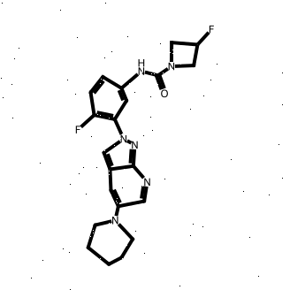 O=C(Nc1ccc(F)c(-n2cc3cc(N4CCCCC4)cnc3n2)c1)N1CC(F)C1